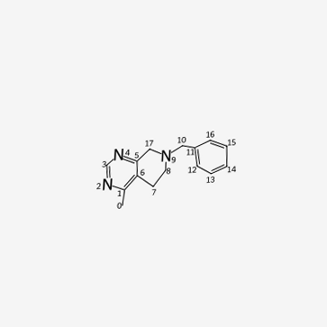 Cc1ncnc2c1CCN(Cc1ccccc1)C2